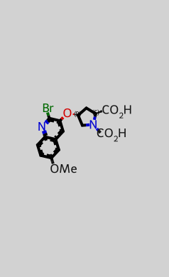 COc1ccc2nc(Br)c(O[C@@H]3C[C@@H](C(=O)O)N(C(=O)O)C3)cc2c1